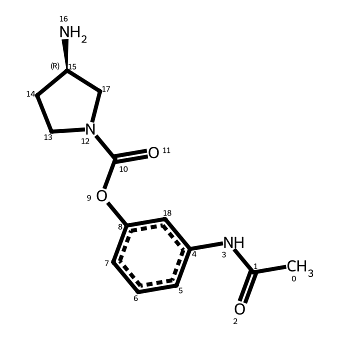 CC(=O)Nc1cccc(OC(=O)N2CC[C@@H](N)C2)c1